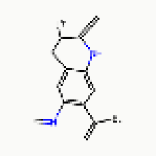 C=Nc1cc2c(cc1C(=C)CC)NC(=C)C(C(C)C)C2